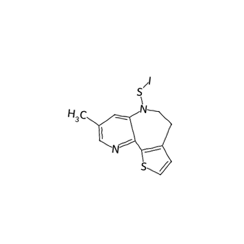 Cc1cnc2c(c1)N(SI)CCc1ccsc1-2